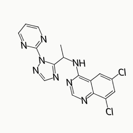 CC(Nc1ncnc2c(Cl)cc(Cl)cc12)c1ncnn1-c1ncccn1